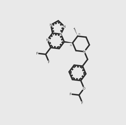 C[C@@H]1CCN(Cc2cccc(OC(F)F)c2)C[C@H]1c1cc(C(F)F)nc2ncnn12